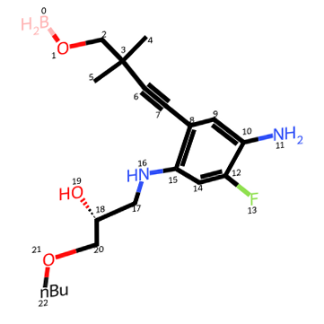 BOCC(C)(C)C#Cc1cc(N)c(F)cc1NC[C@@H](O)COCCCC